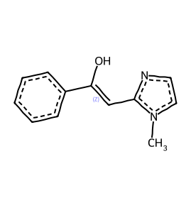 Cn1ccnc1/C=C(\O)c1ccccc1